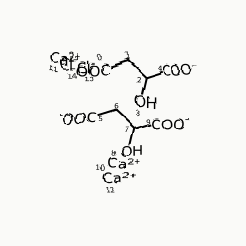 O=C([O-])CC(O)C(=O)[O-].O=C([O-])CC(O)C(=O)[O-].[Ca+2].[Ca+2].[Ca+2].[Cl-].[Cl-]